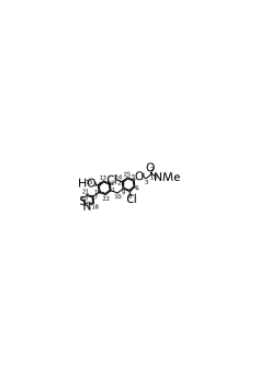 CNC(=O)COc1cc(Cl)c(Cc2ccc(O)c(-c3cnsc3)c2)c(Cl)c1